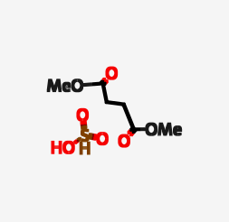 COC(=O)CCC(=O)OC.O=[SH](=O)O